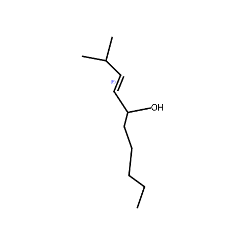 CCCCCC(O)/C=C/C(C)C